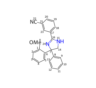 COc1ccccc1C1(c2ccccc2)CNC(c2cccc(C#N)c2)=N1